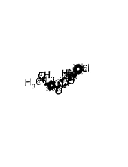 CN(C)N=Cc1ccc(C(=O)N2CCN(S(=O)(=O)c3cc4cc(Cl)ccc4[nH]3)CC2)cc1